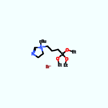 CCCC[N+]1(CCC[Si](OCC)(OCC)OCC)C=NCC1.[Br-]